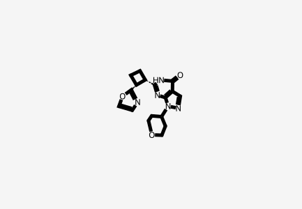 O=c1[nH]c([C@H]2CC[C@H]2c2ncco2)nc2c1cnn2C1CCOCC1